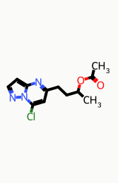 CC(=O)OC(C)CCc1cc(Cl)n2nccc2n1